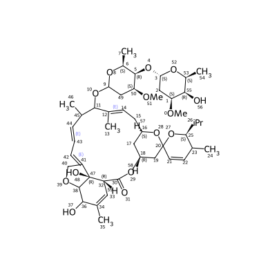 CO[C@H]1C[C@H](O[C@@H]2[C@H](C)OC(OC3/C(C)=C/C[C@H]4C[C@H](CC5(C=CC(C)[C@H](C(C)C)O5)O4)OC(=O)[C@@H]4C=C(C)C(O)C5OC/C(=C\C=C\C3C)[C@@]54O)C[C@@H]2OC)O[C@@H](C)[C@H]1O